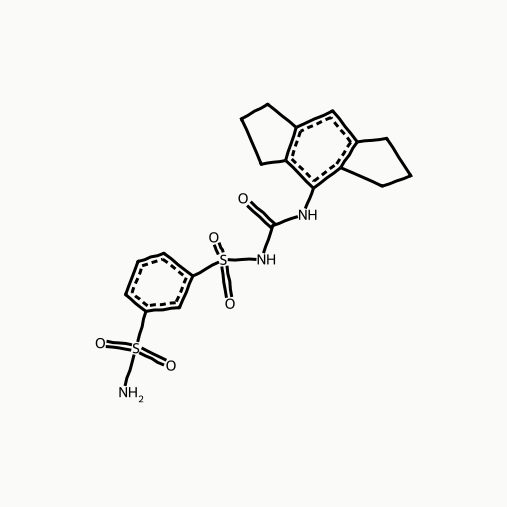 NS(=O)(=O)c1cccc(S(=O)(=O)NC(=O)Nc2c3c(cc4c2CCC4)CCC3)c1